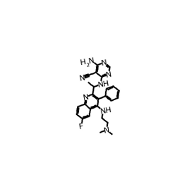 CC(Nc1ncnc(N)c1C#N)c1nc2ccc(F)cc2c(NCCN(C)C)c1-c1ccccc1